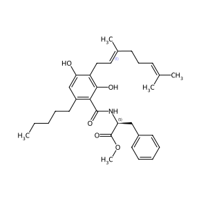 CCCCCc1cc(O)c(C/C=C(\C)CCC=C(C)C)c(O)c1C(=O)N[C@@H](Cc1ccccc1)C(=O)OC